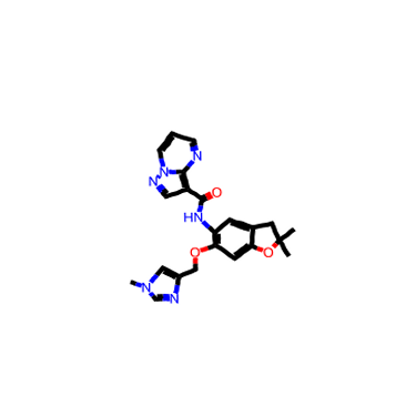 Cn1cnc(COc2cc3c(cc2NC(=O)c2cnn4cccnc24)CC(C)(C)O3)c1